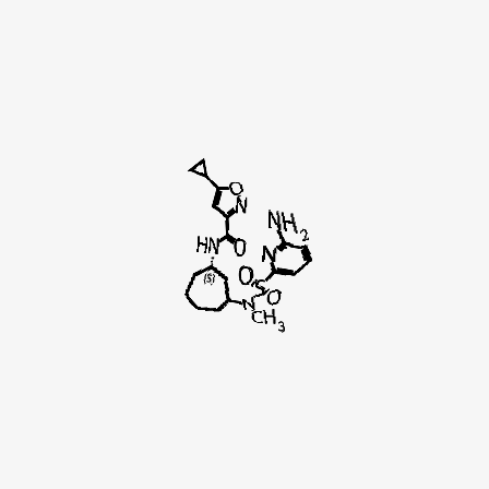 CN(C1CCCC[C@H](NC(=O)c2cc(C3CC3)on2)C1)S(=O)(=O)c1cccc(N)n1